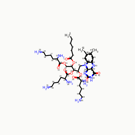 CCCCCCC(=O)OC(COC(=O)C(N)CCCCN)C(OC(=O)C(N)CCCCN)C(Cn1c2nc(=O)[nH]c(=O)c-2nc2cc(C)c(C)cc21)OC(=O)C(N)CCCCN